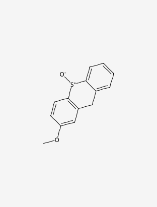 COc1ccc2c(c1)Cc1ccccc1[S+]2[O-]